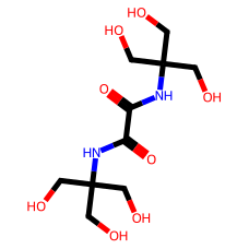 O=C(NC(CO)(CO)CO)C(=O)NC(CO)(CO)CO